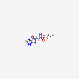 CCCCOC(=O)NCCNC(=O)c1cnccn1